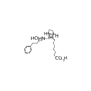 O=C(O)CCCCCC[C@H]1[C@H](CNCC(O)CCc2ccccc2)[C@H]2CC[C@@H]1O2